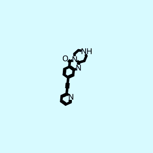 O=c1c2ccc(C#Cc3ccccn3)cc2nc2n1CCNCC2